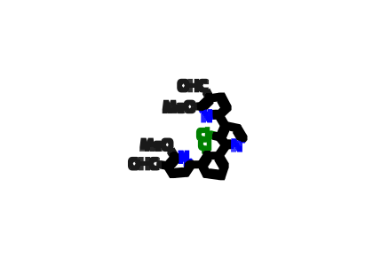 COc1nc(-c2cccc(-c3nccc(-c4ccc(C=O)c(OC)n4)c3Cl)c2Cl)ccc1C=O